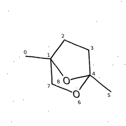 CC12CCC(C)(OC1)O2